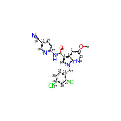 COc1cnc2c(c1)c(C(=O)Nc1ccc(C#N)cn1)cn2Cc1ccc(Cl)cc1Cl